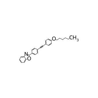 CCCCCCOc1ccc(C#Cc2ccc(-c3nc4ccccc4o3)cc2)cc1